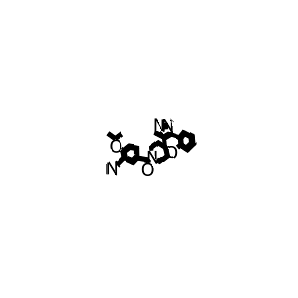 CC(C)Oc1ccc(C(=O)N2CCC3(CC2)Oc2ccccc2-c2c3cnn2C)cc1C#N